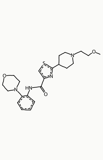 COCCN1CCC(c2nc(C(=O)Nc3ccccc3N3CCOCC3)cs2)CC1